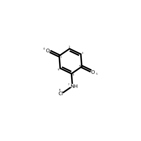 O=C1C=CC(=O)C(NCl)=C1